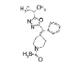 BC(=O)N1CCC(=C(c2ccccc2)c2nnc(C(C)C)o2)CC1